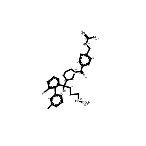 Cc1cccc(-c2c(F)cccc2C(O)(CCCNC(=O)O)C2CCCN(C(=O)c3ccc(CNC(=N)N)cc3)C2)c1